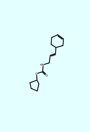 O=C(NC/C=C/C1CC=CCC1)OC1CCCC1